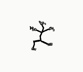 CC(C)(C)C(S)CO